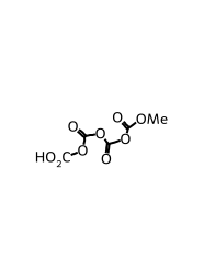 COC(=O)OC(=O)OC(=O)OC(=O)O